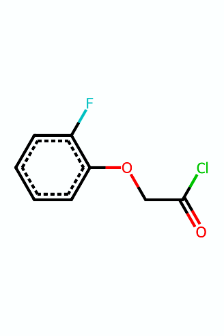 O=C(Cl)COc1ccccc1F